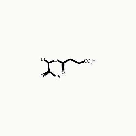 CCC(OC(=O)CCC(=O)O)C(=O)C(C)C